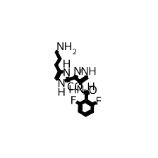 NCCCC1=CNC(C(=O)O)(c2n[nH]cc2NC(=O)c2c(F)cccc2F)N1